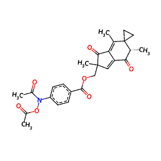 CC(=O)ON(C(C)=O)c1ccc(C(=O)OCC2(C)C=C3C(=O)[C@@H](C)C4(CC4)C(C)=C3C2=O)cc1